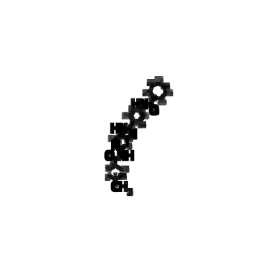 CC1CCC(C(=O)Nc2cc3nc(-c4ccc(NC(=O)C5CCCCCC5)cc4)[nH]c3cn2)CC1